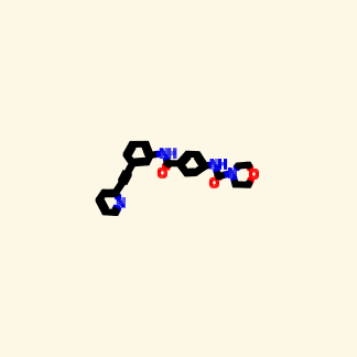 O=C(Nc1cccc(C#Cc2ccccn2)c1)c1ccc(NC(=O)N2CCOCC2)cc1